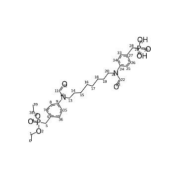 CCOP(=O)(Cc1ccc(N(C=O)CCCCCCCCN(C=O)c2ccc(CP(=O)(O)O)cc2)cc1)OCC